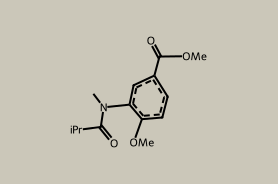 COC(=O)c1ccc(OC)c(N(C)C(=O)C(C)C)c1